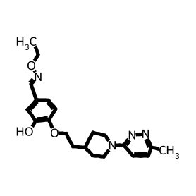 CCON=Cc1ccc(OCCC2CCN(c3ccc(C)nn3)CC2)c(O)c1